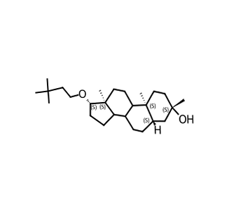 CC(C)(C)CCO[C@H]1CCC2C3CC[C@H]4C[C@@](C)(O)CC[C@]4(C)C3CC[C@@]21C